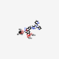 CC(C)(C)OC(=O)Oc1c(C[C@H](NC(=O)Cc2ccc(-n3cc(CN(Cc4ccccn4)Cc4ccccn4)nn3)cc2)B2O[C@@H]3C[C@@H]4C[C@@H](C4(C)C)[C@]3(C)O2)cccc1C(=O)OC(C)(C)C